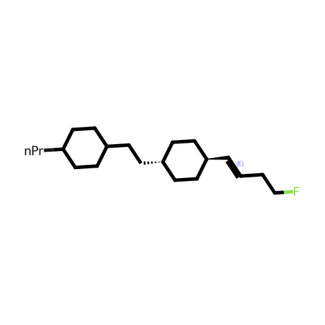 CCCC1CCC(CC[C@H]2CC[C@H](/C=C/CCF)CC2)CC1